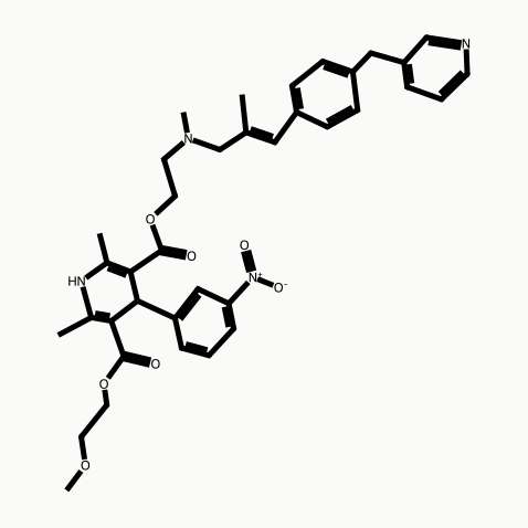 COCCOC(=O)C1=C(C)NC(C)=C(C(=O)OCCN(C)C/C(C)=C/c2ccc(Cc3cccnc3)cc2)C1c1cccc([N+](=O)[O-])c1